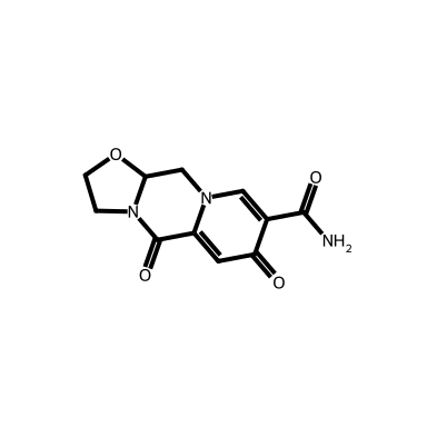 NC(=O)c1cn2c(cc1=O)C(=O)N1CCOC1C2